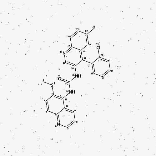 CSc1ccc2ncccc2c1NC(=O)Nc1cnc2ccc(C)cc2c1-c1ccccc1Cl